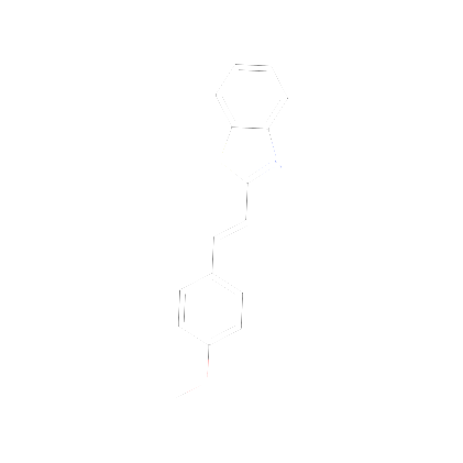 COc1ccc(C=Cc2nc3ccccc3s2)cc1